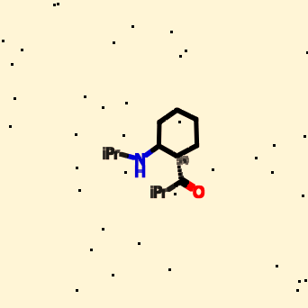 CC(C)NC1CCCC[C@@H]1C(=O)C(C)C